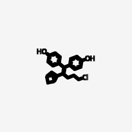 Oc1ccc(C(=C(CCCCl)C2=C3CC(=C2)C3)c2ccc(O)cc2)cc1